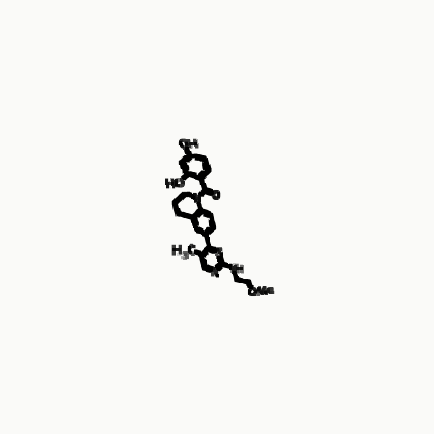 COCCNc1ncc(C)c(-c2ccc3c(c2)CCCN3C(=O)c2ccc(O)cc2O)n1